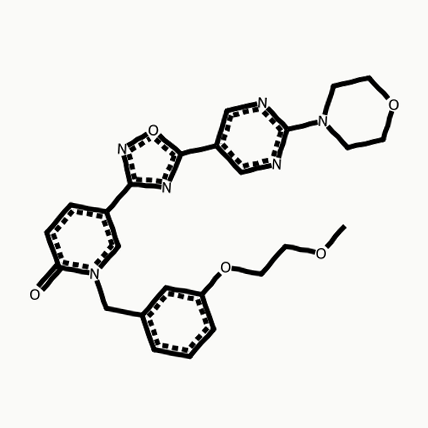 COCCOc1cccc(Cn2cc(-c3noc(-c4cnc(N5CCOCC5)nc4)n3)ccc2=O)c1